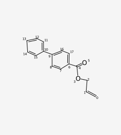 C=CCOC(=O)c1ccc(-c2ccccc2)cc1